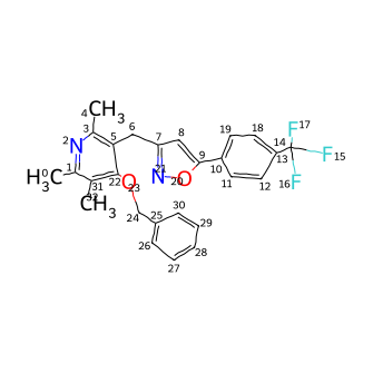 Cc1nc(C)c(Cc2cc(-c3ccc(C(F)(F)F)cc3)on2)c(OCc2ccccc2)c1C